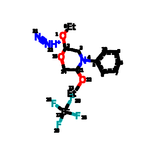 CCOC1CN(c2ccccc2)C(OCC)CO1.F[B-](F)(F)F.N#[NH+]